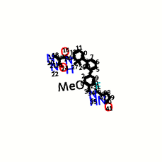 COc1cc(-c2cccc(C3=CC=C[C@H](NC(=O)c4cncn(C)c4=O)C3(C)C)c2)cc(F)c1CN(C)CC1CCC(=O)N1